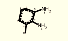 Cc1[c]ccc(N)c1N